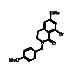 CNc1cc(Br)c2c(c1)CCN(Cc1ccc(OC)cc1)C2=O